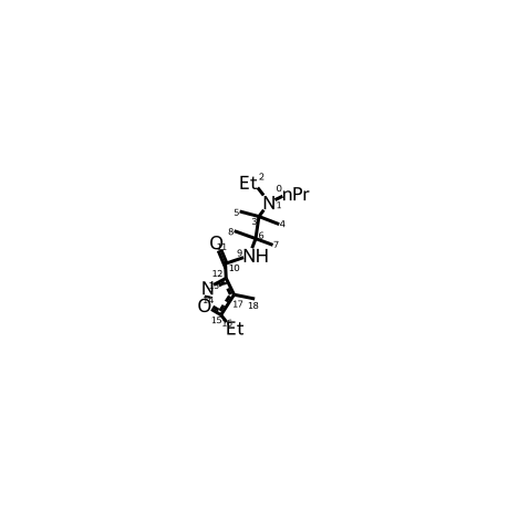 CCCN(CC)C(C)(C)C(C)(C)NC(=O)c1noc(CC)c1C